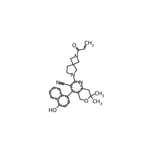 C=CC(=O)N1CC2(CCN(c3nc4c(c(-c5ccc(O)c6ccccc56)c3C#N)COC(C)(C)C4)C2)C1